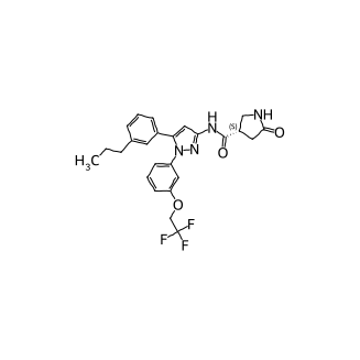 CCCc1cccc(-c2cc(NC(=O)[C@@H]3CNC(=O)C3)nn2-c2cccc(OCC(F)(F)F)c2)c1